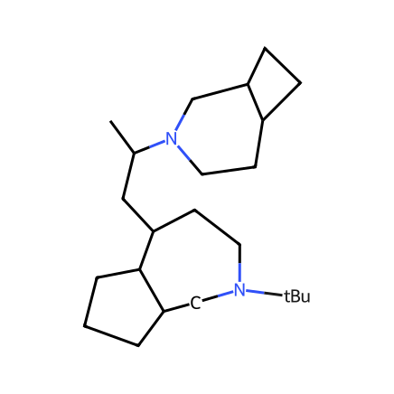 CC(CC1CCN(C(C)(C)C)CC2CCCC12)N1CCC2CCC2C1